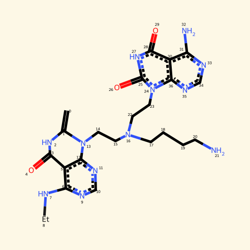 C=C1NC(=O)c2c(NCC)ncnc2N1CCN(CCCCN)CCn1c(=O)[nH]c(=O)c2c(N)ncnc21